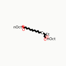 CCCCCCCCOC(=O)CCCCCCCCCCCCCC(CC)CC(=O)OCCCCCCCC